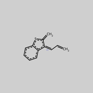 C=C/C=c1\c(=C)sc2ccccc12